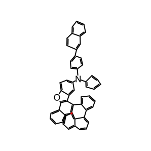 c1ccc(N(c2ccc(-c3ccc4ccccc4c3)cc2)c2ccc3oc4c5ccccc5cc(-c5ccccc5-c5cccc6ccccc56)c4c3c2)cc1